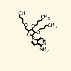 CCCCOCC1OC(n2ccc3c(N)nncc32)C(OCCCC)C1OCCCC